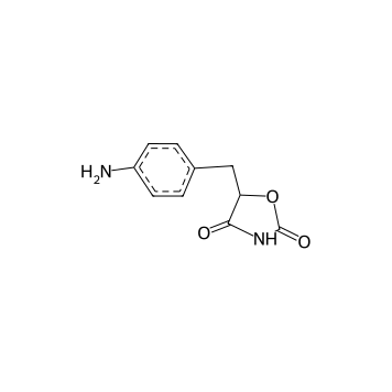 Nc1ccc(CC2OC(=O)NC2=O)cc1